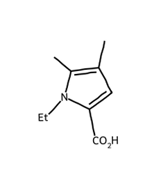 CCn1c(C(=O)O)cc(C)c1C